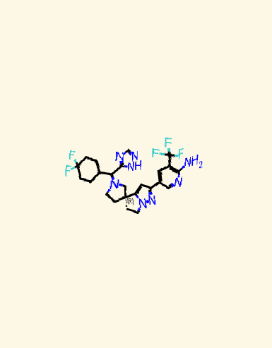 Nc1ncc(-c2cc3n(n2)CC[C@@]32CCN(C(c3ncn[nH]3)C3CCC(F)(F)CC3)C2)cc1C(F)(F)F